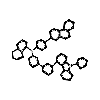 C1=Cc2c(cccc2N(c2ccc(-c3ccc4c(ccc5ccccc54)c3)cc2)c2cccc(-c3cccc(-c4cccc5c4c4ccccc4n5-c4ccccc4)c3)c2)CC1